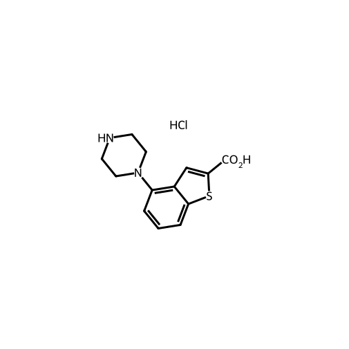 Cl.O=C(O)c1cc2c(N3CCNCC3)cccc2s1